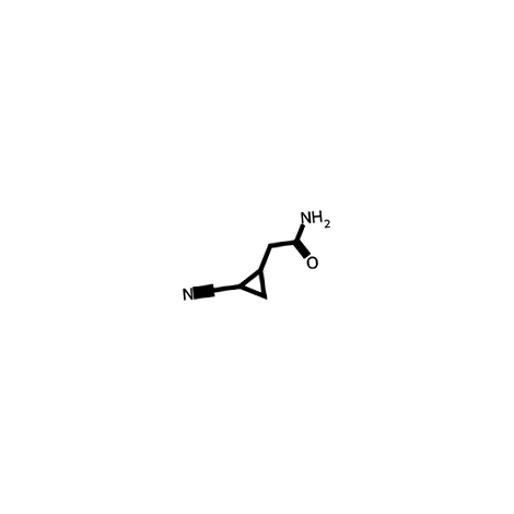 N#CC1CC1CC(N)=O